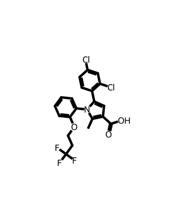 Cc1c(C(=O)O)cc(-c2ccc(Cl)cc2Cl)n1-c1ccccc1OCCC(F)(F)F